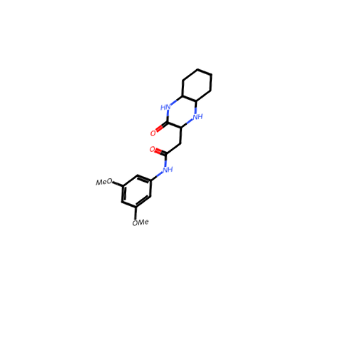 COc1cc(NC(=O)CC2NC3CCCCC3NC2=O)cc(OC)c1